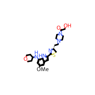 COc1cc(NC2CCOCC2)c2[nH]c(C3=N[C@H](CCN4CCN(C(=O)CO)CC4)CS3)cc2c1